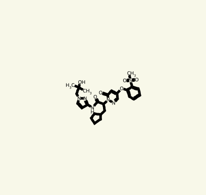 CC(C)(O)Cn1ccc(NC(=O)C(CC2CCCC2)n2ncc(Oc3ccccc3S(C)(=O)=O)cc2=O)n1